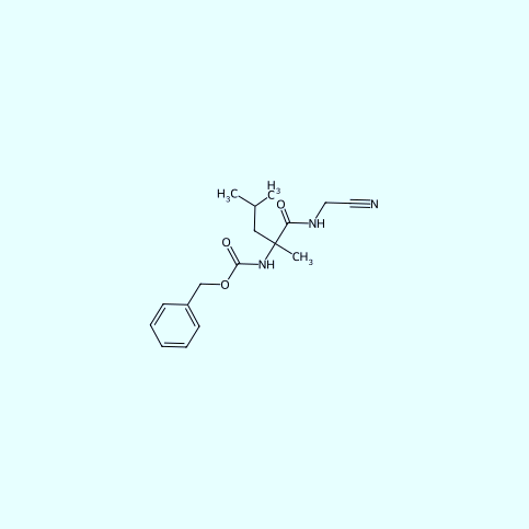 CC(C)CC(C)(NC(=O)OCc1ccccc1)C(=O)NCC#N